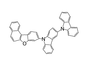 c1ccc2c(c1)ccc1oc3cc(-n4c5ccccc5c5cc(-n6c7ccccc7c7ccccc76)ccc54)ccc3c12